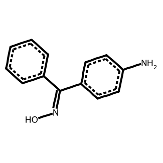 Nc1ccc(C(=NO)c2ccccc2)cc1